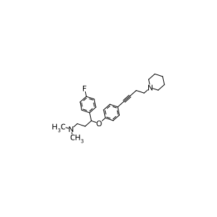 CN(C)CCC(Oc1ccc(C#CCCN2CCCCC2)cc1)c1ccc(F)cc1